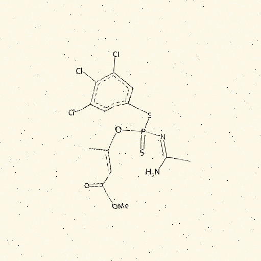 COC(=O)C=C(C)OP(=S)(N=C(C)N)Sc1cc(Cl)c(Cl)c(Cl)c1